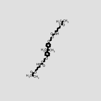 C=C(C)C(=O)OCCCCNC(=O)OCCOc1ccc(C(C)(C)c2ccc(OCCOC(=O)NCCCCOC(=O)C(=C)C)cc2)cc1